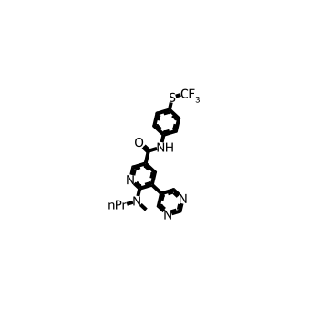 CCCN(C)c1ncc(C(=O)Nc2ccc(SC(F)(F)F)cc2)cc1-c1cncnc1